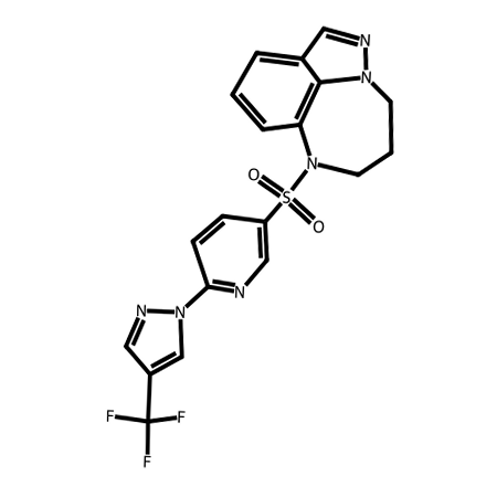 O=S(=O)(c1ccc(-n2cc(C(F)(F)F)cn2)nc1)N1CCCn2ncc3cccc1c32